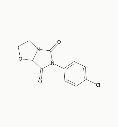 O=C1C2OCCN2C(=O)N1c1ccc(Cl)cc1